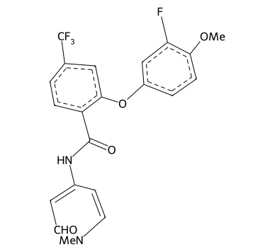 CN/C=C\C(=C/C=O)NC(=O)c1ccc(C(F)(F)F)cc1Oc1ccc(OC)c(F)c1